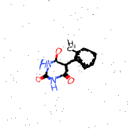 Cc1ccccc1C1C(=O)NC(=O)NC1=O